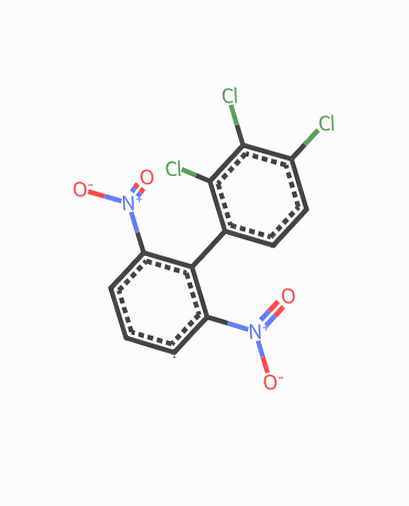 O=[N+]([O-])c1[c]ccc([N+](=O)[O-])c1-c1ccc(Cl)c(Cl)c1Cl